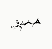 CS(=O)(=O)OCCOC1CC1